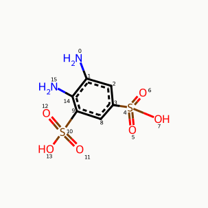 Nc1cc(S(=O)(=O)O)cc(S(=O)(=O)O)c1N